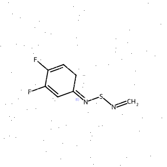 C=NS/N=C1/C=C(F)C(F)=CC1